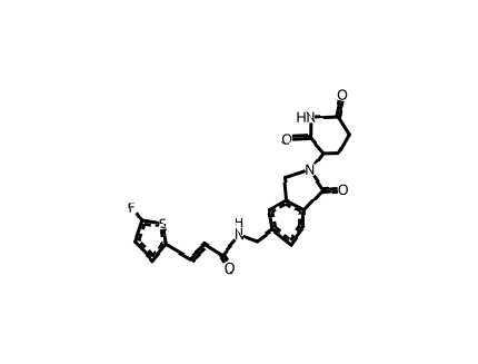 O=C(C=Cc1ccc(F)s1)NCc1ccc2c(c1)CN(C1CCC(=O)NC1=O)C2=O